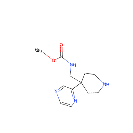 CC(C)(C)OC(=O)NCC1(c2cnccn2)CCNCC1